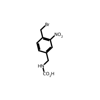 O=C(O)NCc1ccc(CBr)c([N+](=O)[O-])c1